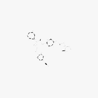 N#Cc1ccc(CCN[C@H](C(=O)Nc2ccc(OCCN3CCOC3=O)cn2)c2ccccc2)cc1